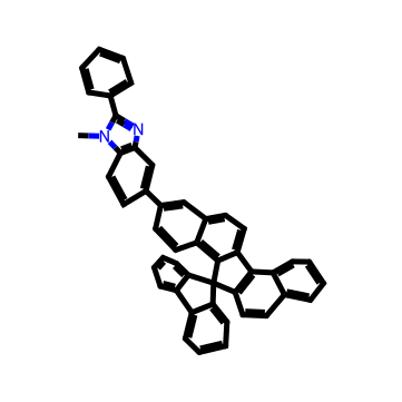 Cn1c(-c2ccccc2)nc2cc(-c3ccc4c5c(ccc4c3)-c3c(ccc4ccccc34)C53c4ccccc4-c4ccccc43)ccc21